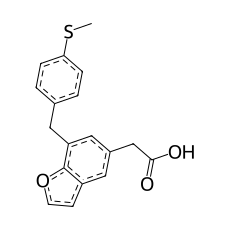 CSc1ccc(Cc2cc(CC(=O)O)cc3ccoc23)cc1